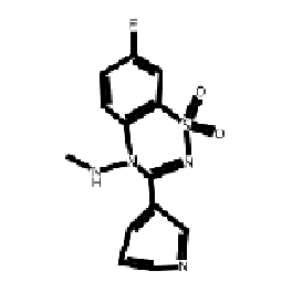 CNN1C(c2cccnc2)=NS(=O)(=O)c2cc(F)ccc21